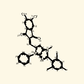 Cc1cc(C)c(-c2nc3c(cc(C=C4C(=O)c5cc(Cl)c(Cl)cc5C4=O)n3-c3ccccc3)n2C)c(C)c1